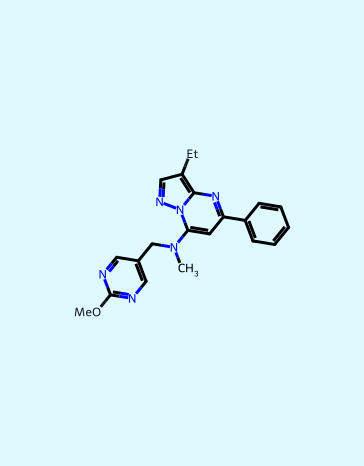 CCc1cnn2c(N(C)Cc3cnc(OC)nc3)cc(-c3ccccc3)nc12